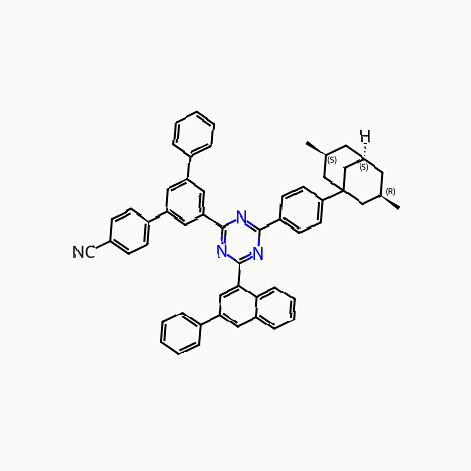 C[C@@H]1C[C@@H]2C[C@H](C)CC(c3ccc(-c4nc(-c5cc(-c6ccccc6)cc(-c6ccc(C#N)cc6)c5)nc(-c5cc(-c6ccccc6)cc6ccccc56)n4)cc3)(C1)C2